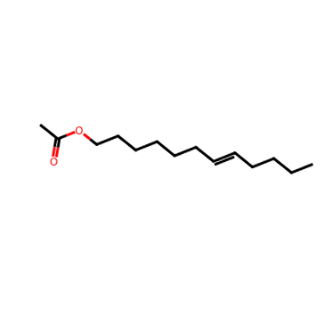 CCCCC=CCCCCCCOC(C)=O